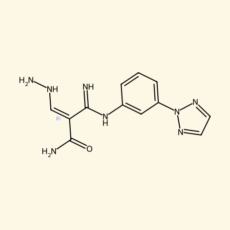 N=C(Nc1cccc(-n2nccn2)c1)/C(=C\NN)C(N)=O